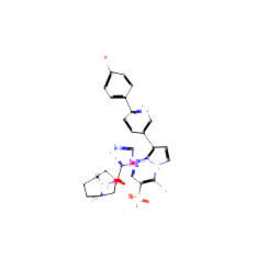 CCOc1ccc(-c2ccc(-c3ccn4c(N)c(S(C)(=O)=O)c([C@@H]5C[C@H]6CC[C@@H](C5)N6C(=O)c5nnc[nH]5)nc34)cn2)cc1